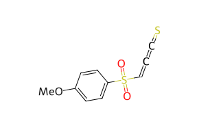 COc1ccc(S(=O)(=O)C=C=C=S)cc1